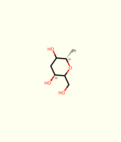 CC(C)[C@@H]1OC(CO)[C@@H](O)CC1O